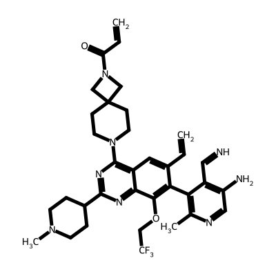 C=CC(=O)N1CC2(CCN(c3nc(C4CCN(C)CC4)nc4c(OCC(F)(F)F)c(-c5c(C)ncc(N)c5C=N)c(C=C)cc34)CC2)C1